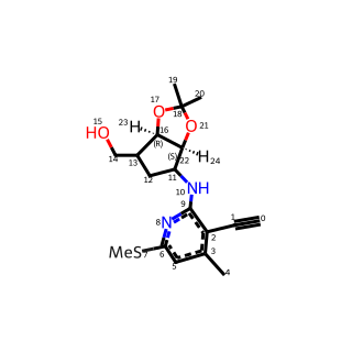 C#Cc1c(C)cc(SC)nc1NC1CC(CO)[C@H]2OC(C)(C)O[C@@H]12